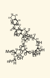 CCCNC[C@]1(O)[C@H](C)O[C@@H](O[C@H]2[C@H](C)[C@@H](O[C@@H]3O[C@H](C)C[C@H](N(C)C(=O)N(C)c4ncc5c(n4)CCC5)[C@H]3O)[C@](C)(O)C[C@@H](C)CN[C@H](C)[C@@H](O)[C@](C)(O)[C@@H](CC)OC(=O)[C@@H]2C)C[C@@]1(C)OC